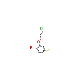 Fc1ccc(Br)c(OCCCCl)c1